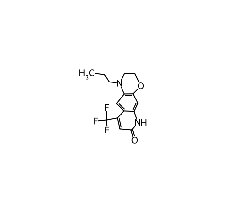 CCCN1CCOc2cc3[nH]c(=O)cc(C(F)(F)F)c3cc21